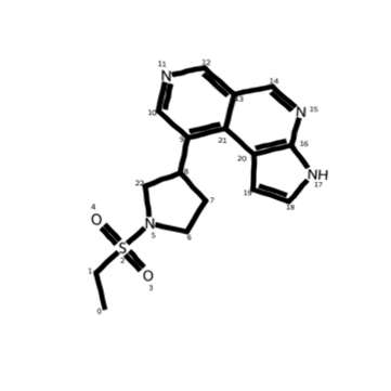 CCS(=O)(=O)N1CCC(c2cncc3cnc4[nH]ccc4c23)C1